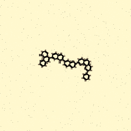 C1=Cc2c(C3=CC4NC(c5ccc6ccc(-c7ccc8ccc9ccc(-c%10ccccc%10)nc9c8n7)nc6c5)=CC=C4C=C3)cc3cccnc3c2NC1